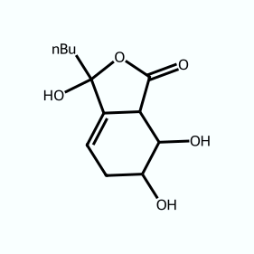 CCCCC1(O)OC(=O)C2C1=CCC(O)C2O